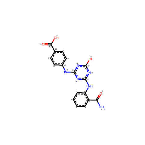 NC(=O)c1ccccc1Nc1nc(O)nc(Nc2ccc(C(=O)O)cc2)n1